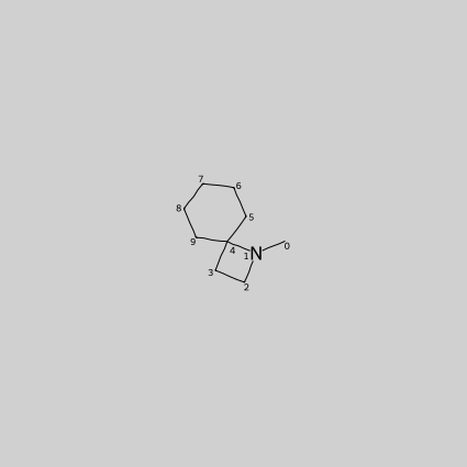 CN1CCC12CCCCC2